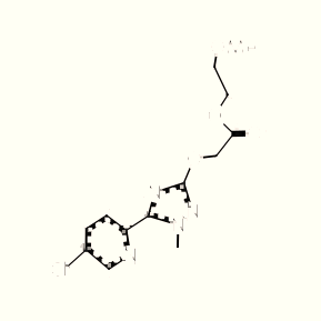 COCCOC(=O)COc1nc(-c2ccc(Cl)cn2)n(C)n1